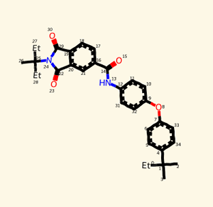 CCC(C)(C)c1ccc(Oc2ccc(NC(=O)c3ccc4c(c3)C(=O)N(C(C)(CC)CC)C4=O)cc2)cc1